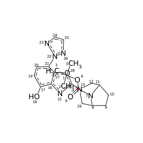 CC(C)(C)OC(=O)N1C2CCC1CN(c1nc3c(O)ccc(-n4nccn4)c3o1)C2